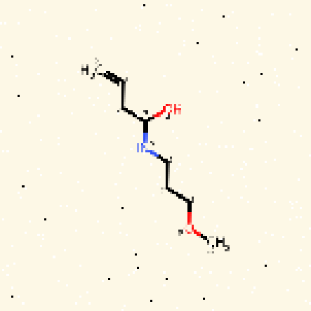 C=CCC(O)NCCCOC